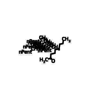 CCCCCC.CCCCCC.CCCCCC.CCCCCC.CCCCCC.CCCCCC.CCCCCC.CCCCCC.CCCCCC.CCCCCCCC(C)=O